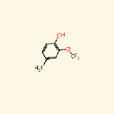 Cc1ccc(O)c(OC(F)(F)F)c1